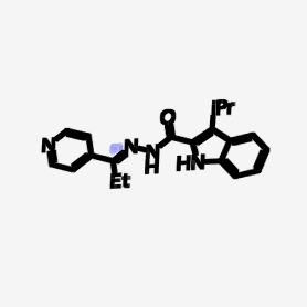 CC/C(=N\NC(=O)c1[nH]c2ccccc2c1C(C)C)c1ccncc1